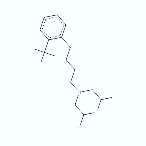 CC1CN(CCCCc2ccccc2C(C)(C)C)CC(C)O1